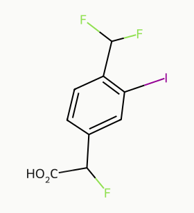 O=C(O)C(F)c1ccc(C(F)F)c(I)c1